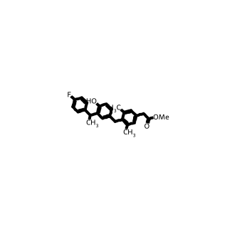 COC(=O)Cc1cc(C)c(Cc2ccc(O)c(C(C)c3ccc(F)cc3)c2)c(C)c1